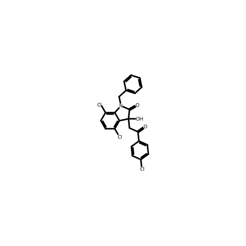 O=C(CC1(O)C(=O)N(Cc2ccccc2)c2c(Cl)ccc(Cl)c21)c1ccc(Cl)cc1